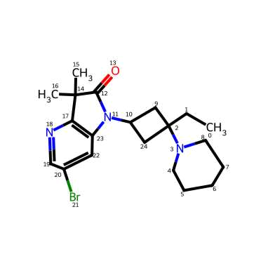 CCC1(N2CCCCC2)CC(N2C(=O)C(C)(C)c3ncc(Br)cc32)C1